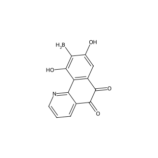 Bc1c(O)cc2c(c1O)-c1ncccc1C(=O)C2=O